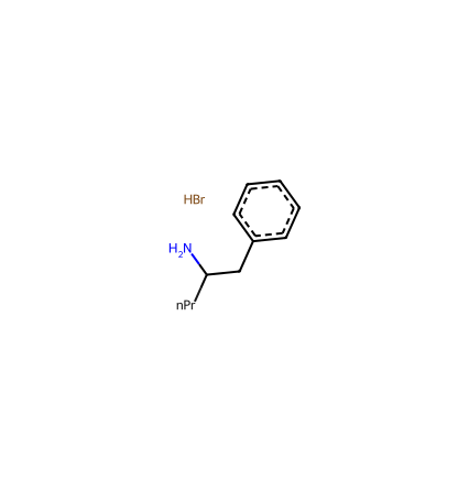 Br.CCCC(N)Cc1ccccc1